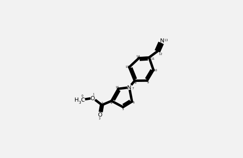 COC(=O)c1ccn(-c2ccc(C#N)cc2)c1